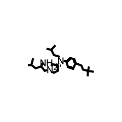 CC(C)CCN(c1ccc(CCC(C)(C)C)cc1)[C@H]1CCN(CC(N)CC(C)C)C1